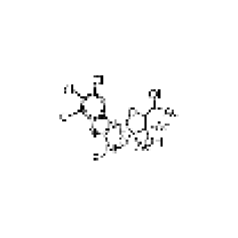 CC(=O)C(O)[C@@H]1O[C@H](n2c(NC(C)C)nc3c(Cl)c(Cl)c(Cl)cc32)[C@](O)(C(C)=O)[C@]1(O)C(C)=O